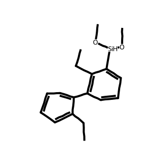 CCc1ccccc1-c1cccc([SiH](OC)OC)c1CC